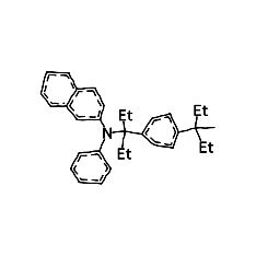 CCC(C)(CC)c1ccc(C(CC)(CC)N(c2ccccc2)c2ccc3ccccc3c2)cc1